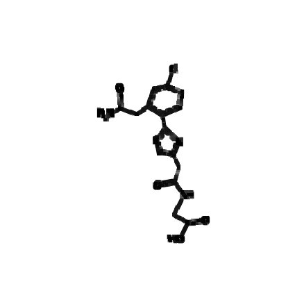 NC(=O)Cc1cc(Cl)ccc1-c1nc(CC(=O)NCC(=O)O)cs1